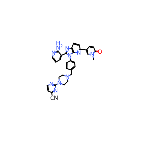 Cn1cc(-c2ccc3nc(-c4cccnc4N)n(-c4ccc(CN5CCN(c6nccc(C#N)n6)CC5)cc4)c3n2)ccc1=O